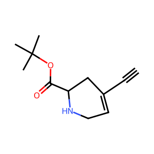 C#CC1=CCNC(C(=O)OC(C)(C)C)C1